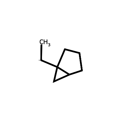 C[CH]C12CCCC1C2